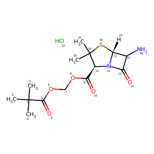 CC(C)(C)C(=O)OCOC(=O)[C@@H]1N2C(=O)C(N)[C@H]2SC1(C)C.Cl